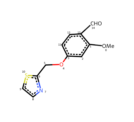 COc1cc(OCc2nccs2)ccc1C=O